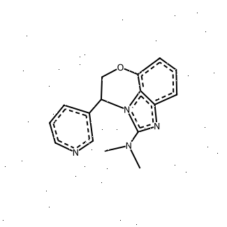 CN(C)c1nc2cccc3c2n1C(c1cccnc1)CO3